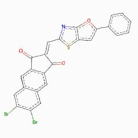 O=C1C(=Cc2nc3oc(-c4ccccc4)cc3s2)C(=O)c2cc3cc(Br)c(Br)cc3cc21